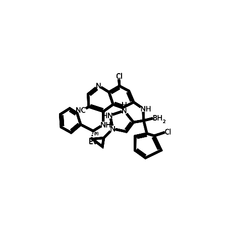 BC(Nc1cc(Cl)c2ncc(C#N)c(N[C@H](CC)c3ccccc3)c2c1)(C1=CN(C2CC2)NN1)c1ccccc1Cl